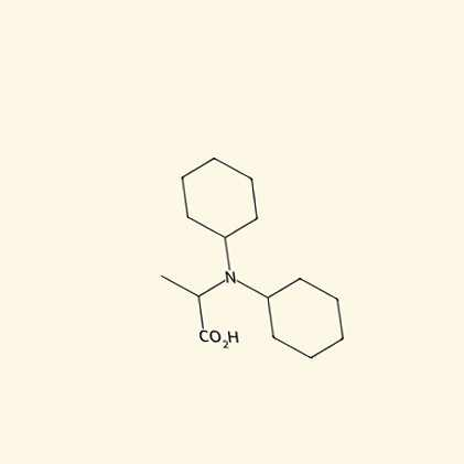 CC(C(=O)O)N(C1CCCCC1)C1CCCCC1